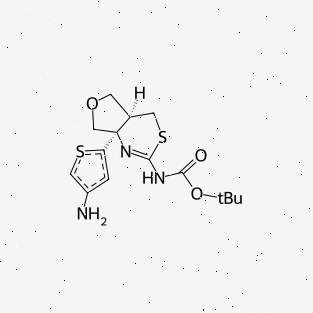 CC(C)(C)OC(=O)NC1=N[C@@]2(c3cc(N)cs3)COC[C@H]2CS1